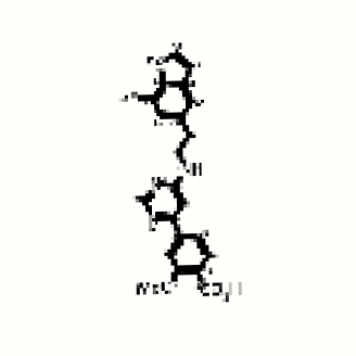 COc1cc(-c2cc(NCCc3cc(F)c4sccc4c3)ncn2)ccc1C(=O)O